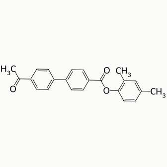 CC(=O)c1ccc(-c2ccc(C(=O)Oc3ccc(C)cc3C)cc2)cc1